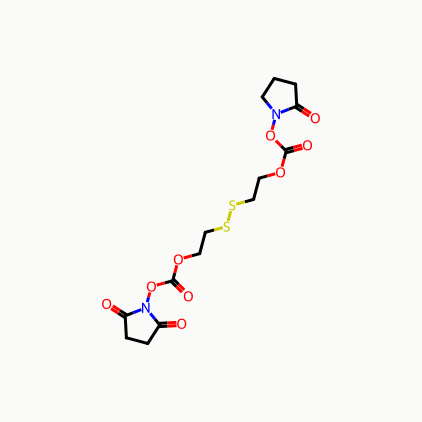 O=C(OCCSSCCOC(=O)ON1C(=O)CCC1=O)ON1CCCC1=O